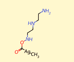 [CH3][Ag][C](=O)ONCCNCCN